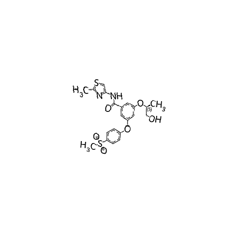 Cc1nc(NC(=O)c2cc(Oc3ccc(S(C)(=O)=O)cc3)cc(O[C@@H](C)CO)c2)cs1